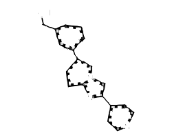 OCc1cccc(-c2ccc3nc(-c4ccncc4)cn3c2)c1